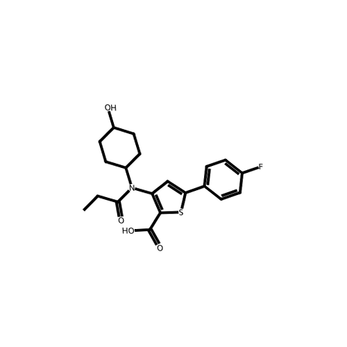 CCC(=O)N(c1cc(-c2ccc(F)cc2)sc1C(=O)O)C1CCC(O)CC1